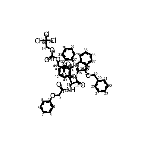 O=C(COc1ccccc1)NC1C(=O)N(C(C(=O)OCc2ccccc2)=P(c2ccccc2)(c2ccccc2)c2ccccc2)C1OC(=O)COC(=O)OCC(Cl)(Cl)Cl